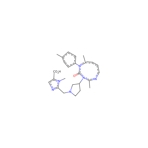 Cc1ccc(-n2c(C)cccnc(C)n(C3CCN(Cc4ncc(C(=O)O)n4C)C3)c2=O)cc1